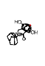 O=C(OC12CC3CC(C1)C(NCc1cc(O)ccc1O)C(C3)C2)c1ccccc1